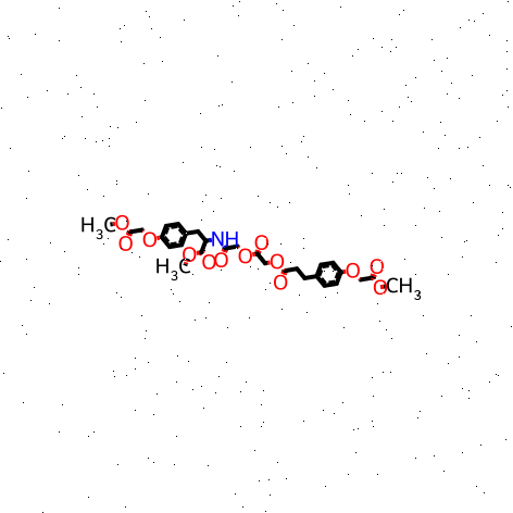 COC(=O)COc1ccc(CCC(=O)OCC(=O)OCC(=O)NC(Cc2ccc(OCC(=O)OC)cc2)C(=O)OC)cc1